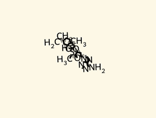 C=C(C)[C@@H]1CC[C@]2(C)S[P@](=S)(O[C@H]3C[C@H](n4cnc5c(N)ncnc54)O[C@@H]3CC)O[C@H]2C1